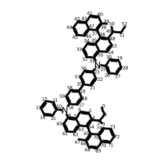 CCC(C)c1ccc2c(N(c3ccccc3)c3ccc(-c4ccc(N(c5ccccc5)c5cccc6c(-c7c(C)ccc8ccccc78)c(C(C)CC)ccc56)cc4)cc3)cccc2c1-c1c(C)ccc2ccccc12